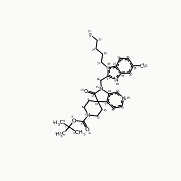 CC(C)(C)OC(=O)N1CCC2(CC1)C(=O)N(Cc1nc3cc(Cl)ccc3n1CCCCF)c1cnccc12